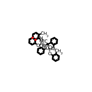 Cc1ccccc1OP(Oc1ccccc1C)Oc1ccccc1C(C)(C)OP(Oc1ccccc1C)Oc1ccccc1C